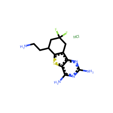 Cl.NCCC1CC(F)(F)Cc2c1sc1c(N)nc(N)nc21